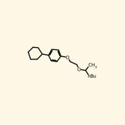 CCCCC(C)OCCOc1ccc(C2CCCCC2)cc1